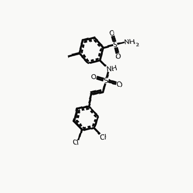 Cc1ccc(S(N)(=O)=O)c(NS(=O)(=O)C=Cc2ccc(Cl)c(Cl)c2)c1